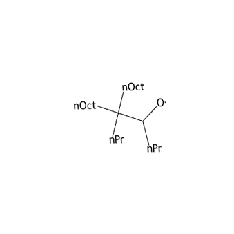 CCCCCCCCC(CCC)(CCCCCCCC)C([O])CCC